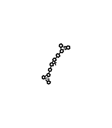 CC1(C)c2cc(-c3ccc(-c4ccc5c(c4)-c4ccccc4[Si]54Cc5ccccc5C4)cc3)ccc2-c2ccc(-c3ccc(-c4ccc5c(c4)-c4ccccc4[Si]54Cc5ccccc5C4)cc3)cc21